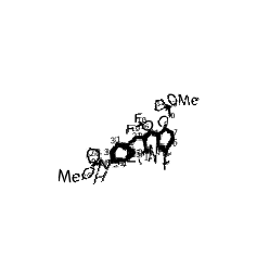 CCc1nc2c(F)ccc(OCC(=O)OC)c2c(OC(F)F)c1Cc1ccc(NC(=O)OC)cc1